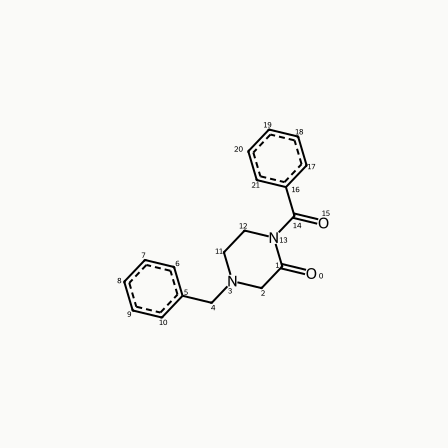 O=C1CN(Cc2ccccc2)CCN1C(=O)c1ccccc1